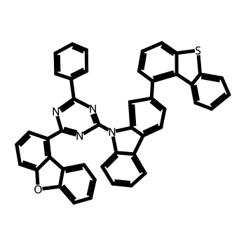 c1ccc(-c2nc(-c3cccc4oc5ccccc5c34)nc(-n3c4ccccc4c4ccc(-c5cccc6sc7ccccc7c56)cc43)n2)cc1